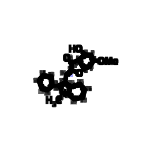 COc1cc(O)c2c(c1)O/C(=C\c1c(-c3ccccc3)n(C)c3ccccc13)C2=O